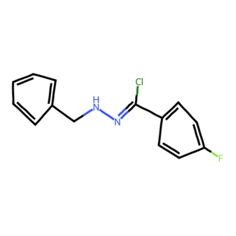 Fc1ccc(/C(Cl)=N/NCc2ccccc2)cc1